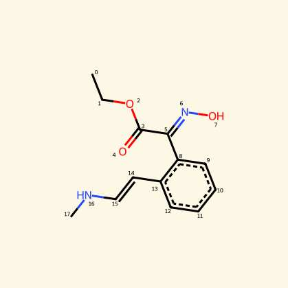 CCOC(=O)/C(=N/O)c1ccccc1/C=C/NC